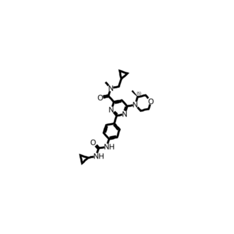 C[C@H]1COCCN1c1cc(C(=O)N(C)CC2CC2)nc(-c2ccc(NC(=O)NC3CC3)cc2)n1